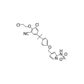 CC(C)(c1ccc(OCc2ccnc(NS(C)(=O)=O)c2)cc1)c1cc(Cl)c(OCCCl)c(C#N)c1